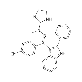 CN(N=C(c1ccc(Cl)cc1)c1c(-c2ccccc2)[nH]c2ccccc12)C1=NCCN1